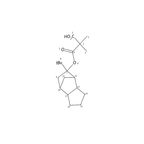 CC(C)(C(=O)O)C(=O)OC1(C(C)(C)C)CC2CC1C1CCCC21